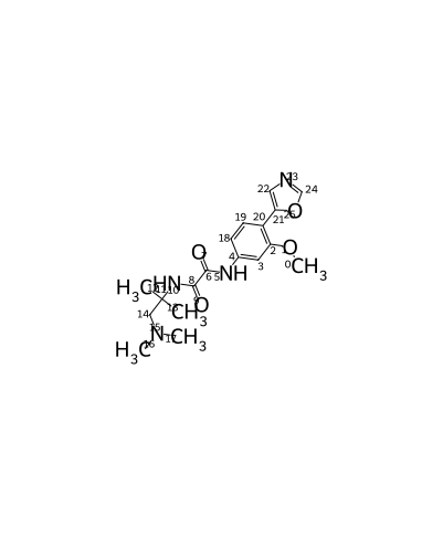 COc1cc(NC(=O)C(=O)NC(C)(C)CN(C)C)ccc1-c1cnco1